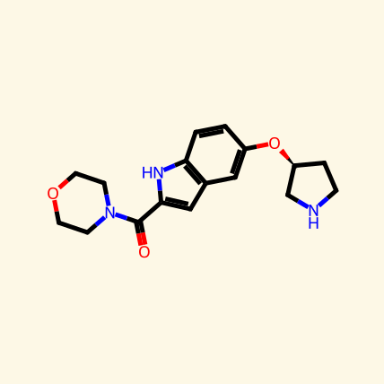 O=C(c1cc2cc(O[C@H]3CCNC3)ccc2[nH]1)N1CCOCC1